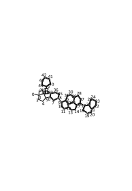 CC1(C)CCC2c3cc(-c4ccc5ccc6c(-c7cccc8ccccc78)ccc7ccc4c5c76)ccc3B(c3ccccc3)C21C